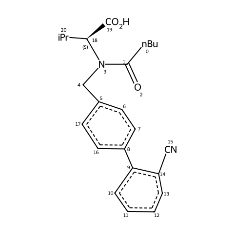 CCCCC(=O)N(Cc1ccc(-c2ccccc2C#N)cc1)[C@H](C(=O)O)C(C)C